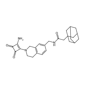 Nc1c(N2CCc3ccc(CNC(=O)CC45CC6CC(CC(C6)C4)C5)cc3C2)c(=O)c1=O